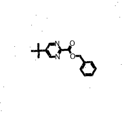 CC(C)(C)c1cnc(C(=O)OCc2ccccc2)nc1